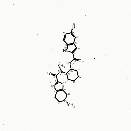 CN1CCc2nc(C(=O)N(C)[C@@H]3CCCC[C@@H]3NC(=O)c3cc4cc(Cl)ccc4[nH]3)sc2C1